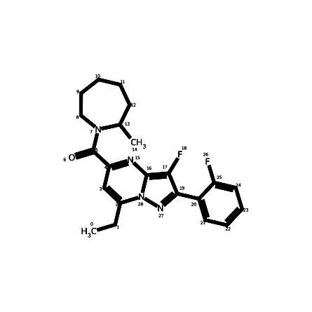 CCc1cc(C(=O)N2CCCCCC2C)nc2c(F)c(-c3ccccc3F)nn12